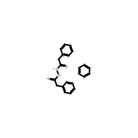 O=C(Cc1ccccc1)OOC(=O)Cc1ccccc1.c1ccccc1